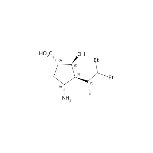 CCC(CC)[C@H](C)[C@@H]1[C@H](O)[C@@H](C(=O)O)C[C@H]1N